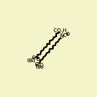 CC(C)(C)OC(=O)CCCCCCCCCCCCCCC(=O)O.CC(C)(C)OC(=O)CCCCCCCCCCCCCCN=C=O